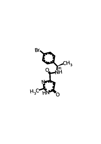 Cc1nc(C(=O)N[C@H](C)c2ccc(Br)cc2)cc(=O)[nH]1